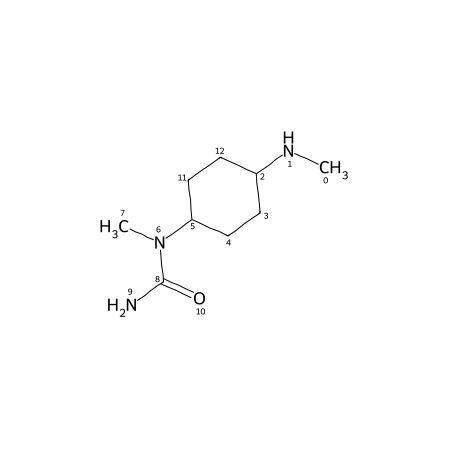 CNC1CCC(N(C)C(N)=O)CC1